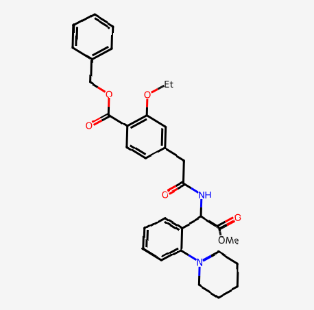 CCOc1cc(CC(=O)NC(C(=O)OC)c2ccccc2N2CCCCC2)ccc1C(=O)OCc1ccccc1